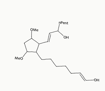 CCCCCC(O)/C=C/C1C(OC)CC(OC)C1CCCCCC=CO